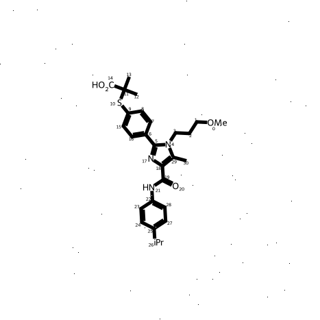 COCCCn1c(-c2ccc(SC(C)(C)C(=O)O)cc2)nc(C(=O)Nc2ccc(C(C)C)cc2)c1C